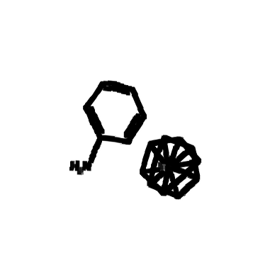 Nc1ccccc1.[CH]12[CH]3[CH]4[CH]5[CH]1[Fe]23451678[CH]2[CH]1[CH]6[CH]7[CH]28